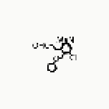 CNc1ccc(Cl)c(COC2CCCC2)c1CCC=O